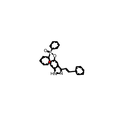 O=P(Oc1ccc2[nH]nc(C=Cc3ccccc3)c2c1)(c1ccccc1)c1ccccc1